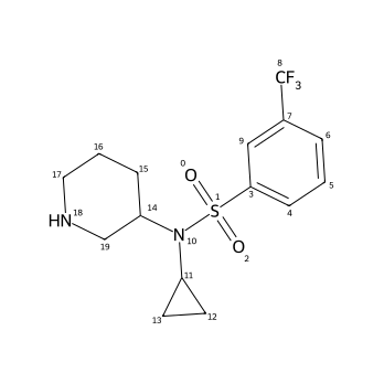 O=S(=O)(c1cccc(C(F)(F)F)c1)N(C1CC1)C1CCCNC1